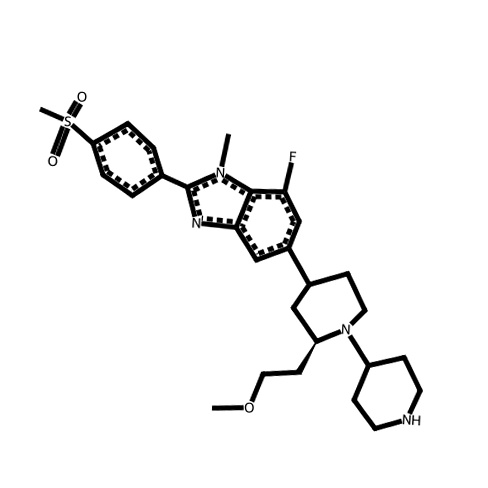 COCC[C@H]1CC(c2cc(F)c3c(c2)nc(-c2ccc(S(C)(=O)=O)cc2)n3C)CCN1C1CCNCC1